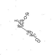 C/C(=C\C(=O)Nc1cccc(C(=O)NCCCCCC(=O)N[C@H](C(=O)N2C[C@@H](O)C[C@@H]2C(=O)NCc2ccc(-c3scnc3C)cc2)C(C)(C)C)c1)c1ccc2ccccc2c1